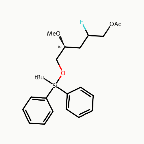 CO[C@H](CO[Si](c1ccccc1)(c1ccccc1)C(C)(C)C)CC(F)COC(C)=O